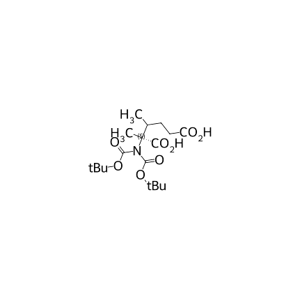 CC(CCC(=O)O)[C@@](C)(C(=O)O)N(C(=O)OC(C)(C)C)C(=O)OC(C)(C)C